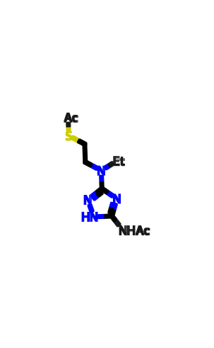 CCN(CCSC(C)=O)c1n[nH]c(NC(C)=O)n1